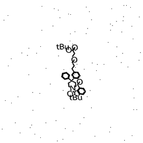 CC(C)(C)OC(=O)CCOCCCc1ccc(OCc2ccccc2)c(C2(c3ccccc3)CCN(C(=O)OC(C)(C)C)CC2)c1